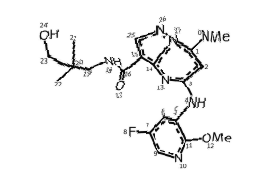 CNc1cc(Nc2cc(F)cnc2OC)nc2c(C(=O)NCC(C)(C)CO)cnn12